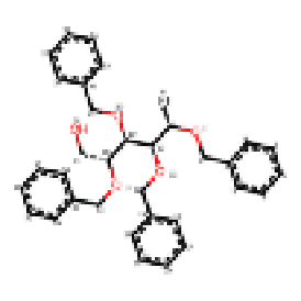 CC[C@@H](OCc1ccccc1)[C@@H](OCc1ccccc1)[C@H](OCc1ccccc1)[C@@H](CO)OCc1ccccc1